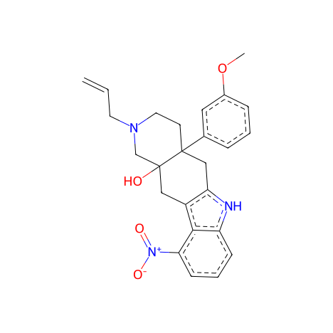 C=CCN1CCC2(c3cccc(OC)c3)Cc3[nH]c4cccc([N+](=O)[O-])c4c3CC2(O)C1